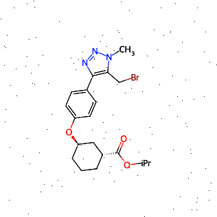 CC(C)OC(=O)[C@@H]1CCC[C@@H](Oc2ccc(-c3nnn(C)c3CBr)cc2)C1